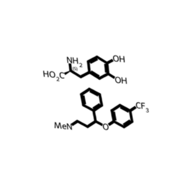 CNCCC(Oc1ccc(C(F)(F)F)cc1)c1ccccc1.N[C@@H](Cc1ccc(O)c(O)c1)C(=O)O